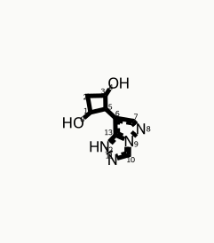 OC1CC(O)C1c1cnn2cn[nH]c12